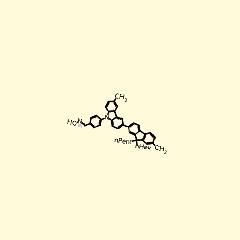 CCCCCCC1(CCCCC)c2cc(C)ccc2-c2ccc(-c3ccc4c(c3)c3cc(C)ccc3n4-c3ccc(/C=N/O)cc3)cc21